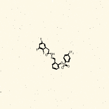 O=C(Cc1cc(F)cc(F)c1F)NN=Cc1ccccc1OS(=O)(=O)c1ccc(C(F)(F)F)cc1